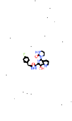 O=C1NCCCN1c1nc(-c2nnc(Cc3ccc(F)cc3)o2)c(O)c2ncccc12